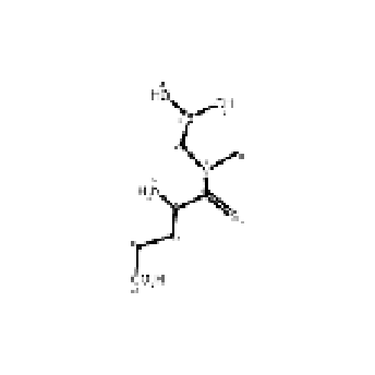 CN(CB(O)O)C(=S)C(N)CCC(=O)O